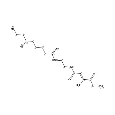 COC(=O)/C(C)=C/C(=O)NCCNC(=O)CCCCC(S)CCS